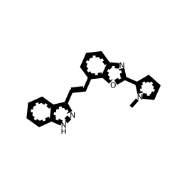 Cn1cccc1-c1nc2cccc(C=Cc3n[nH]c4ccccc34)c2o1